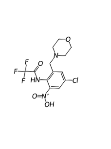 O=C(Nc1c(CN2CCOCC2)cc(Cl)cc1[N+](=O)O)C(F)(F)F